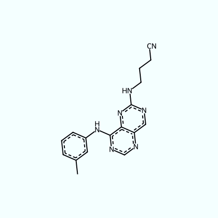 Cc1cccc(Nc2ncnc3cnc(NCCCC#N)nc23)c1